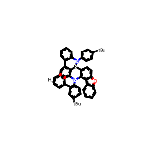 Cc1cc2c3c(c1)N(c1ccc(C(C)(C)C)cc1-c1ccccc1)c1c(ccc4oc5ccccc5c14)B3N(c1ccc(C(C)(C)C)cc1)c1ccccc1-2